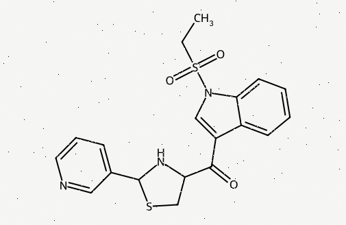 CCS(=O)(=O)n1cc(C(=O)C2CSC(c3cccnc3)N2)c2ccccc21